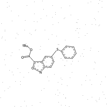 CC(C)(C)OC(=O)c1onc2ccc(Sc3ccccc3)cc12